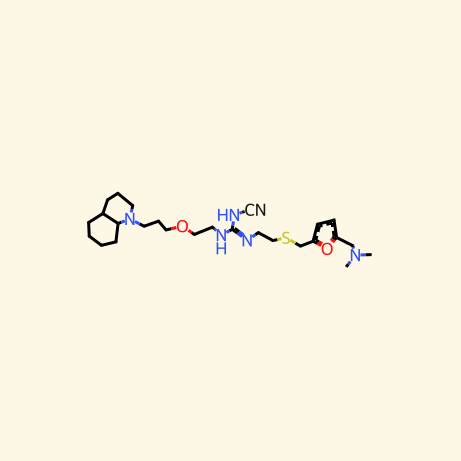 CN(C)Cc1ccc(CSCCN=C(NC#N)NCCOCCCN2CCCC3CCCCC32)o1